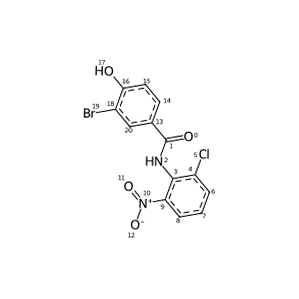 O=C(Nc1c(Cl)cccc1[N+](=O)[O-])c1ccc(O)c(Br)c1